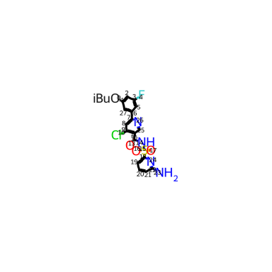 CC(C)COc1cc(F)cc(-c2cc(Cl)c(C(=O)NS(=O)(=O)c3cccc(N)n3)cn2)c1